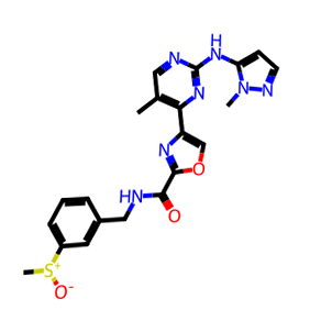 Cc1cnc(Nc2ccnn2C)nc1-c1coc(C(=O)NCc2cccc([S+](C)[O-])c2)n1